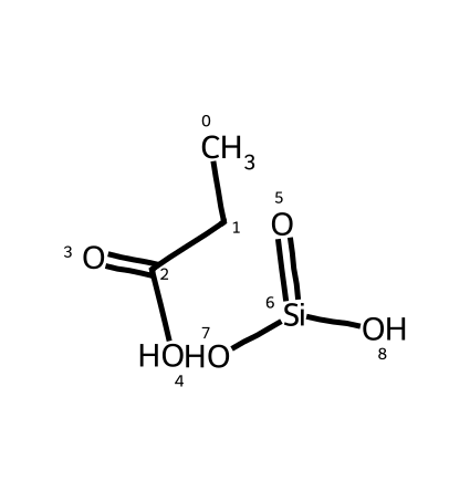 CCC(=O)O.O=[Si](O)O